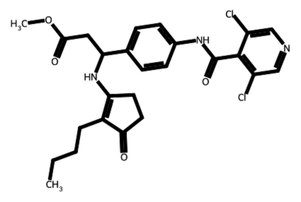 CCCCC1=C(NC(CC(=O)OC)c2ccc(NC(=O)c3c(Cl)cncc3Cl)cc2)CCC1=O